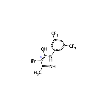 CC(=N)/C(=C(/O)Nc1cc(C(F)(F)F)cc(C(F)(F)F)c1)C(C)C